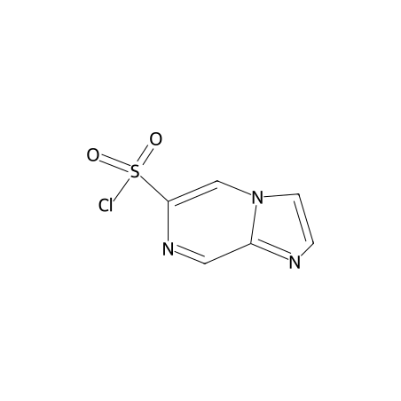 O=S(=O)(Cl)c1cn2ccnc2cn1